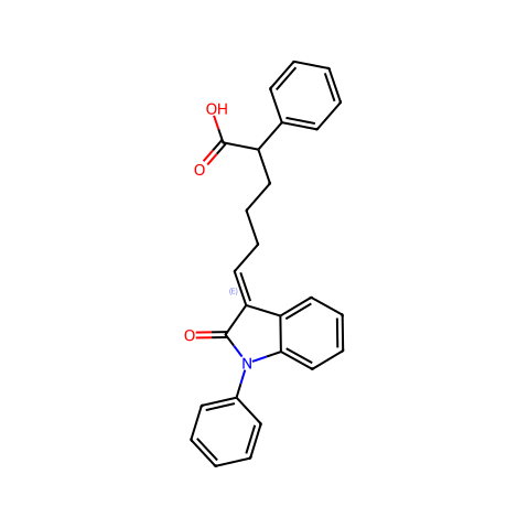 O=C(O)C(CCC/C=C1/C(=O)N(c2ccccc2)c2ccccc21)c1ccccc1